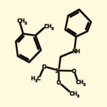 CO[Si](CNc1ccccc1)(OC)OC.Cc1ccccc1C